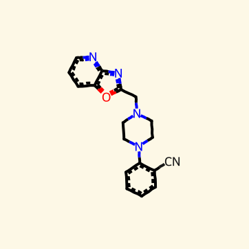 N#Cc1ccccc1N1CCN(Cc2nc3ncccc3o2)CC1